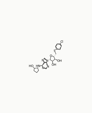 O[C@@H]1[C@H](O)[C@@H](CSc2ccc(Cl)cc2)O[C@H]1n1cnc2c(N[C@@H]3CCC[C@H]3O)ncnc21